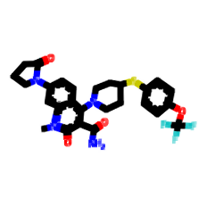 Cn1c(=O)c(C(N)=O)c(N2CCC(Sc3ccc(OC(F)(F)F)cc3)CC2)c2ccc(N3CCCC3=O)cc21